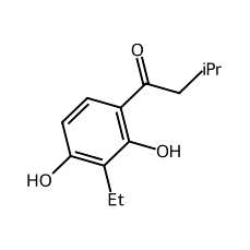 CCc1c(O)ccc(C(=O)CC(C)C)c1O